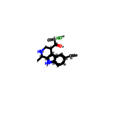 COC(=O)C1CNC(C)c2[nH]c3ccc(OC)cc3c21.Cl